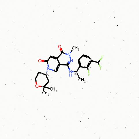 C[C@@H](Nc1nn(C)c(=O)c2cc(=O)n([C@H]3CCOC(C)(C)C3)cc12)c1cccc(C(F)F)c1F